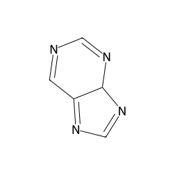 C1=NC=NC2N=CN=C12